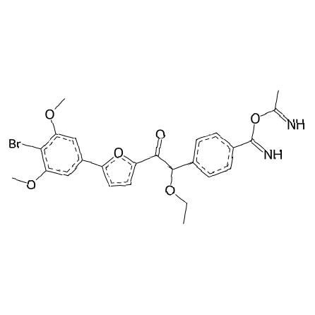 CCOC(C(=O)c1ccc(-c2cc(OC)c(Br)c(OC)c2)o1)c1ccc(C(=N)OC(C)=N)cc1